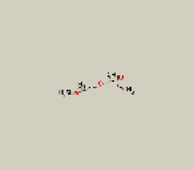 C=CC(=O)C(C)COCCC[SiH2]O[SiH3]